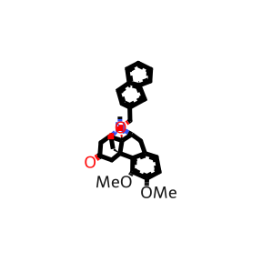 COc1ccc2c(c1OC)[C@]13CCN(C)C(C2)[C@]1(OCc1ccc2ccccc2c1)CCC(=O)C3